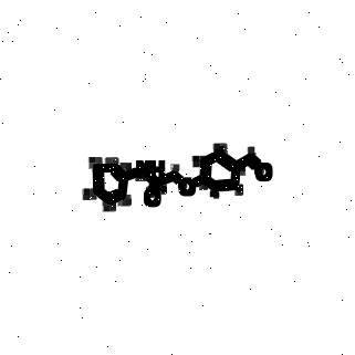 O=Cc1ccc(OCC(=O)Nc2ccccc2)cc1